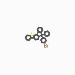 Brc1ccc(C2(c3ccccc3)c3ccccc3-c3c2ccc2c3sc3ccccc32)cc1